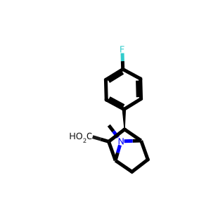 CN1C2CCC1[C@H](c1ccc(F)cc1)C2C(=O)O